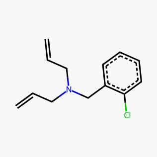 C=CCN(CC=C)Cc1ccccc1Cl